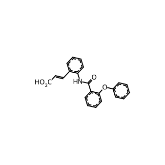 O=C(O)C=Cc1ccccc1NC(=O)c1ccccc1Oc1ccccc1